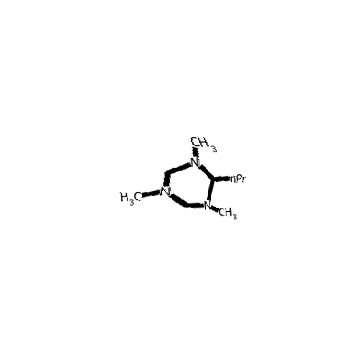 CCCC1N(C)CN(C)CN1C